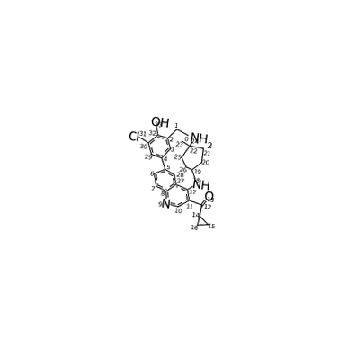 CCc1cc(-c2ccc3ncc(C(=O)C4CC4)c(NC4CCC(C)(N)CC4)c3c2)cc(Cl)c1O